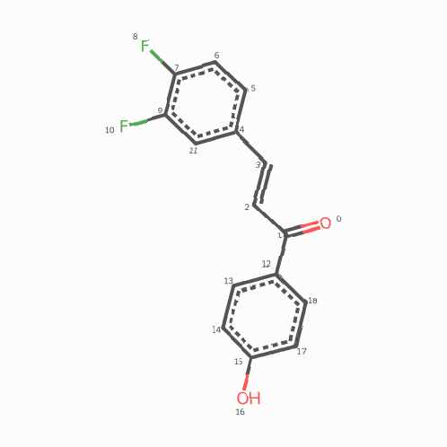 O=C(/C=C/c1ccc(F)c(F)c1)c1ccc(O)cc1